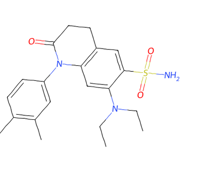 CCN(CC)c1cc2c(cc1S(N)(=O)=O)CCC(=O)N2c1ccc(C)c(C)c1